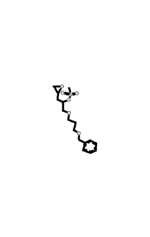 CS(=O)(=O)OC(COCCCOCc1ccccc1)CC1CO1